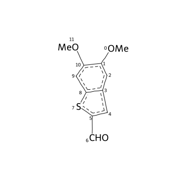 COc1cc2cc(C=O)sc2cc1OC